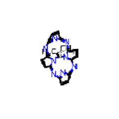 C[Si]1(C)n2c3ccc2/N=C2/C=CC(=N2)/N=c2/cc/c(n21)=N/C1=NC(=N\3)/C=C1